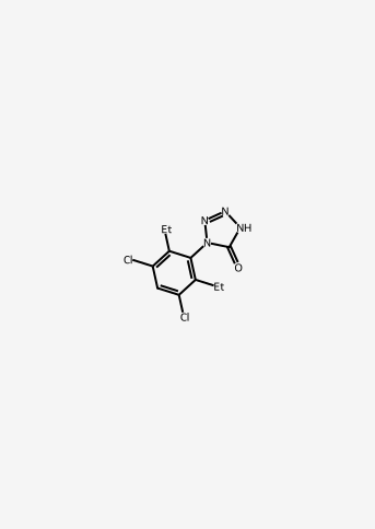 CCc1c(Cl)cc(Cl)c(CC)c1-n1nn[nH]c1=O